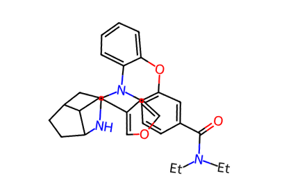 CCN(CC)C(=O)c1ccc2c(c1)Oc1ccccc1N2C1CC2CCC(N1)C2Cc1ccoc1